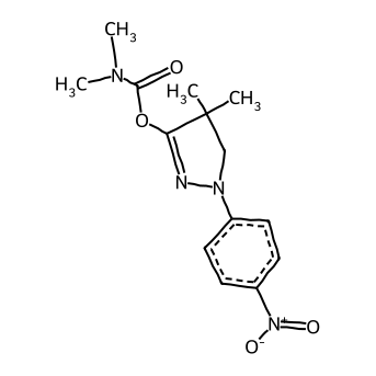 CN(C)C(=O)OC1=NN(c2ccc([N+](=O)[O-])cc2)CC1(C)C